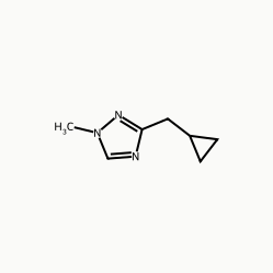 Cn1cnc(CC2CC2)n1